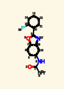 CCCC(=O)Nc1ccc2oc(-c3ccccc3F)nc2c1